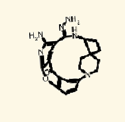 N/N=C1\NC2CCC23CCN(CC3)c2ccc3oc4nc(N)c1cc4c(=O)c3c2